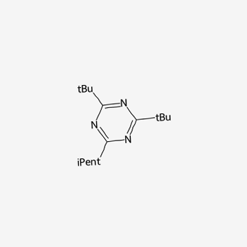 CCCC(C)c1nc(C(C)(C)C)nc(C(C)(C)C)n1